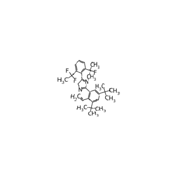 C=Cc1c(C2=NCC(c3c(C(C)(C)F)cccc3C(C)(F)F)=N2)cc(C(C)(C)C)cc1C(C)(C)C